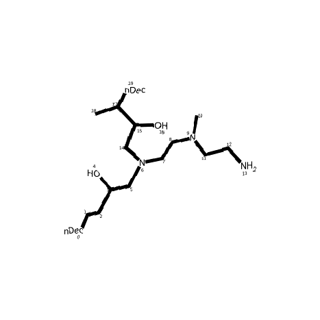 CCCCCCCCCCCCC(O)CN(CCN(C)CCN)CC(O)C(C)CCCCCCCCCC